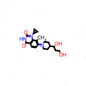 Cc1c(N2CCC(C(O)CCO)CC2)ccc2c(=O)[nH]c(=O)n(C3CC3)c12